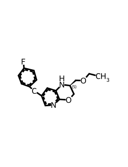 CCOC[C@H]1COc2ncc(Cc3ccc(F)cc3)cc2N1